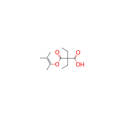 CCC(CC)(C(=O)O)C(=O)OC(C)=C(C)C